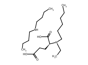 CCCCCCN(CC)[C@@H](CCC(=O)O)C(=O)O.CCCCNCCCC